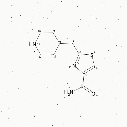 NC(=O)c1csc(CC2CCNCC2)n1